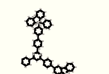 c1ccc(-c2cc(-c3ccc(-c4ccc5sc6ccccc6c5c4)cc3)nc(-c3ccc(-c4ccc([Si]5(c6ccccc6)c6ccccc6-c6ccccc65)cc4)cc3)n2)cc1